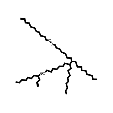 C=CCCCCCCCCCOOCCCCCCCC(CCCCCCCCC)C(CCCCCCCCC)CCCCCCCOOC(CC=C)CCCCCCC